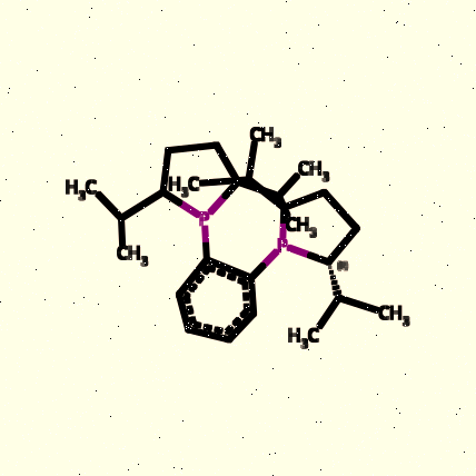 CC(C)C1CCC(C(C)C)P1c1ccccc1P1C(C(C)C)CC[C@@H]1C(C)C